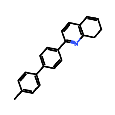 Cc1ccc(-c2ccc(-c3ccc4c(n3)CCC=C4)cc2)cc1